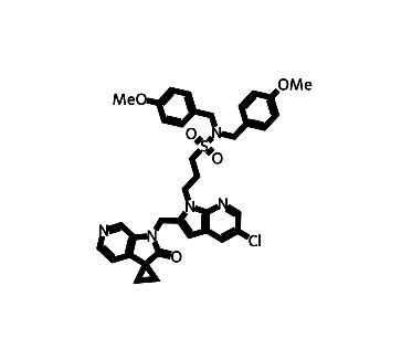 COc1ccc(CN(Cc2ccc(OC)cc2)S(=O)(=O)CCCn2c(CN3C(=O)C4(CC4)c4ccncc43)cc3cc(Cl)cnc32)cc1